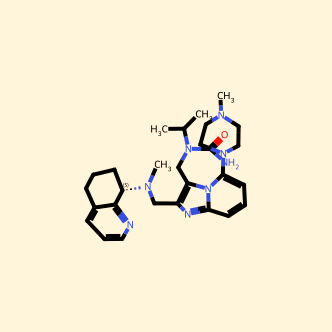 CC(C)N(Cc1c(CN(C)[C@H]2CCCc3cccnc32)nc2cccc(N3CCN(C)CC3)n12)C(N)=O